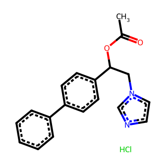 CC(=O)OC(Cn1ccnc1)c1ccc(-c2ccccc2)cc1.Cl